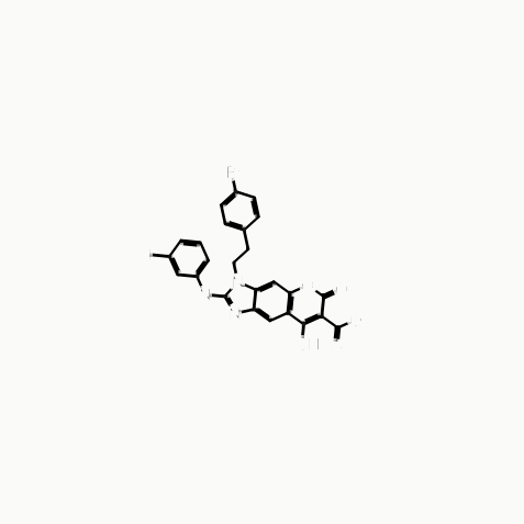 Cc1c(C(=O)O)c(=O)oc2cc3c(cc12)nc(Nc1cccc(I)c1)n3CCc1ccc(Br)cc1